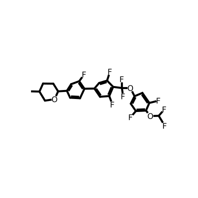 CC1CCC(c2ccc(-c3cc(F)c(C(F)(F)Oc4cc(F)c(OC(F)F)c(F)c4)c(F)c3)c(F)c2)OC1